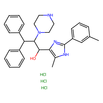 Cc1cccc(-c2nc(C(O)C(C(c3ccccc3)c3ccccc3)N3CCNCC3)c(C)[nH]2)c1.Cl.Cl.Cl